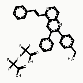 NCc1ccc(-c2nc3ccnc(/C=C/c4ccccc4)c3cc2-c2ccccc2)cc1.O=C(O)C(F)(F)F.O=C(O)C(F)(F)F